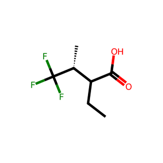 CCC(C(=O)O)[C@@H](C)C(F)(F)F